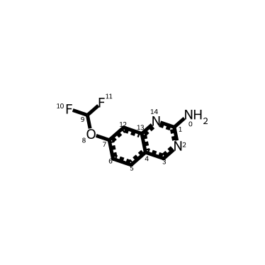 Nc1ncc2ccc(OC(F)F)cc2n1